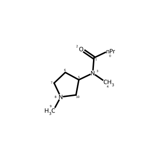 CCCC(=O)N(C)C1CCN(C)C1